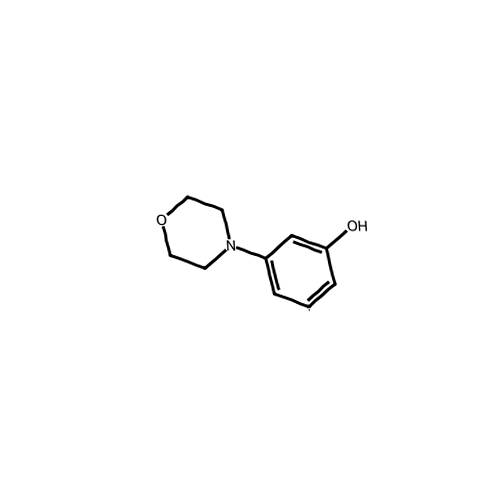 Oc1c[c]cc(N2CCOCC2)c1